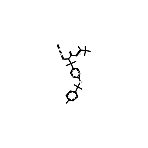 C=C=C=CC(C(=C)/C=C(\C)C(C)(C)C)C(C)(C)c1cnc(OC(C)(C)c2ccc(C)cc2)nc1